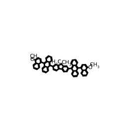 COc1ccc(-c2c3ccccc3c(-c3ccc4c(c3)C(C)(C)c3cc(-c5c6ccccc6c(-c6ccc(OC)c7ccccc67)c6ccccc56)ccc3-4)c3ccccc23)c2ccccc12